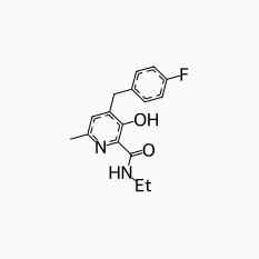 CCNC(=O)c1nc(C)cc(Cc2ccc(F)cc2)c1O